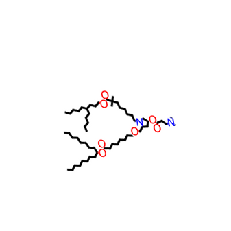 CCCCCCCCC(CCCCCCCC)OC(=O)CCCCCCCOCC1C[C@@H](OC(=O)CCN(C)C)CN1CCCCCCC(C)(C)C(=O)OCCCC(CCCCC)CCCCC